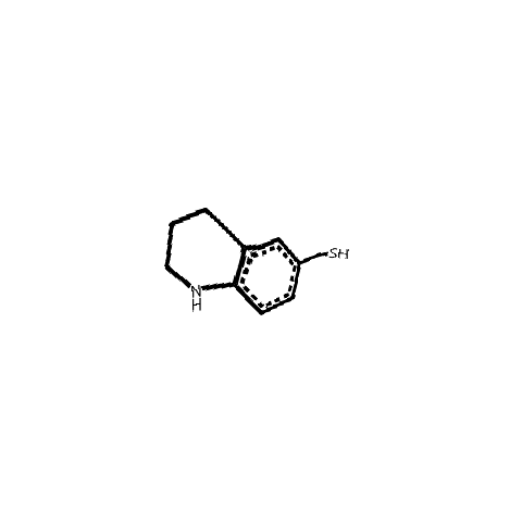 Sc1ccc2c(c1)CCCN2